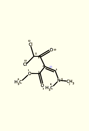 COC(=O)/C(=C\N(C)C)C(=O)C(Cl)Cl